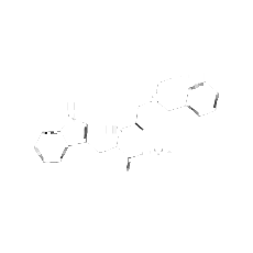 COC(=O)C(Cc1c[nH]c2ccccc12)NC(=O)CN(CC(=O)O)Cc1ccccc1